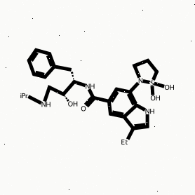 CCc1c[nH]c2c(N3CCCS3(O)O)cc(C(=O)N[C@@H](Cc3ccccc3)[C@H](O)CNC(C)C)cc12